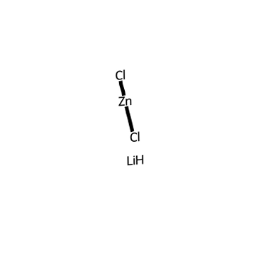 [Cl][Zn][Cl].[LiH]